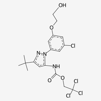 CC(C)(C)c1cc(NC(=O)OCC(Cl)(Cl)Cl)n(-c2cc(Cl)cc(OCCO)c2)n1